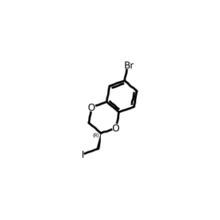 Brc1ccc2c(c1)OC[C@H](CI)O2